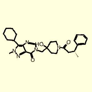 C[C@H](CC(=O)N1CCC(O)(Cn2cnc3c(C4CCCCC4)n(C)nc3c2=O)CC1)c1ccccc1